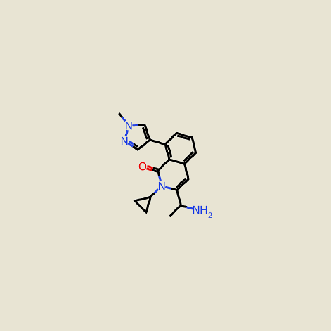 CC(N)c1cc2cccc(-c3cnn(C)c3)c2c(=O)n1C1CC1